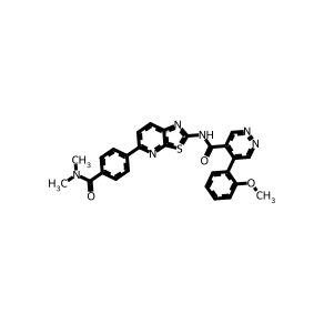 COc1ccccc1-c1cnncc1C(=O)Nc1nc2ccc(-c3ccc(C(=O)N(C)C)cc3)nc2s1